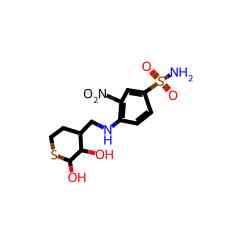 NS(=O)(=O)c1ccc(NCC2CCSC(O)C2O)c([N+](=O)[O-])c1